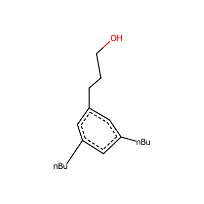 CCCCc1cc(CCCC)cc(CCCO)c1